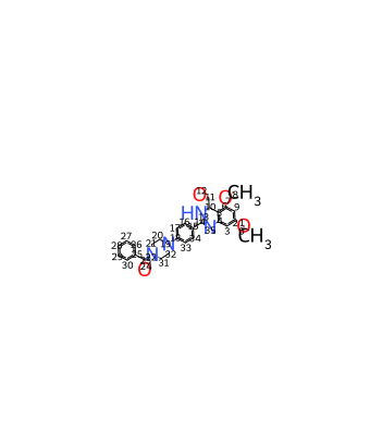 COc1cc2c(c(OC)c1)C(C=O)NC(c1ccc(N3CCN(C(=O)c4ccccc4)CC3)cc1)=N2